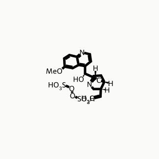 C=C[C@H]1CN2CC[C@H]1C[C@H]2[C@H](O)c1ccnc2ccc(OC)cc12.O=S(=O)(O)OOS(=O)(=O)O